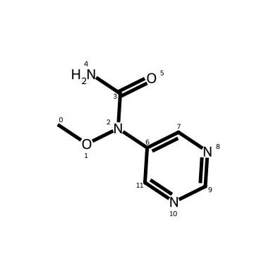 CON(C(N)=O)c1cncnc1